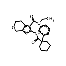 CCOC(=O)c1c(NC(=O)C2(c3ccccc3)CCCCC2)sc2c1CCOC2